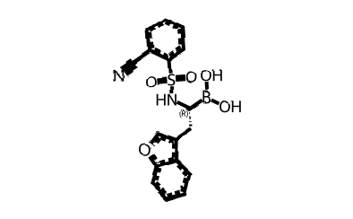 N#Cc1ccccc1S(=O)(=O)N[C@@H](Cc1coc2ccccc12)B(O)O